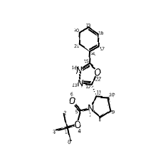 CC(C)(C)OC(=O)N1CCC[C@H]1c1nnc(C2=CC=CCC2)o1